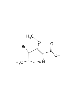 COc1c(C(=O)O)ncc(C)c1Br